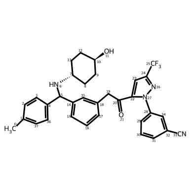 Cc1ccc(C(N[C@H]2CC[C@H](O)CC2)c2cccc(CC(=O)c3cc(C(F)(F)F)nn3-c3cccc(C#N)c3)c2)cc1